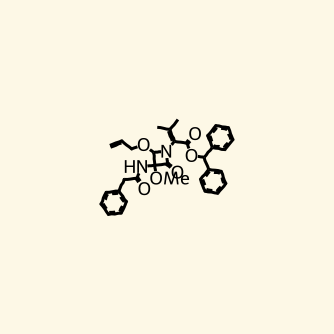 C=CCOC1N(C(C(=O)OC(c2ccccc2)c2ccccc2)=C(C)C)C(=O)C1(NC(=O)Cc1ccccc1)OC